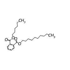 CCCCCCCCCCOC(=O)c1ccccc1C(=O)OCCCCCC